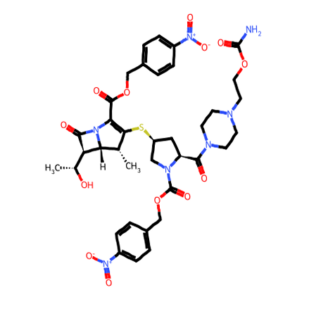 C[C@@H](O)[C@H]1C(=O)N2C(C(=O)OCc3ccc([N+](=O)[O-])cc3)=C(S[C@H]3C[C@@H](C(=O)N4CCN(CCOC(N)=O)CC4)N(C(=O)OCc4ccc([N+](=O)[O-])cc4)C3)[C@H](C)[C@H]12